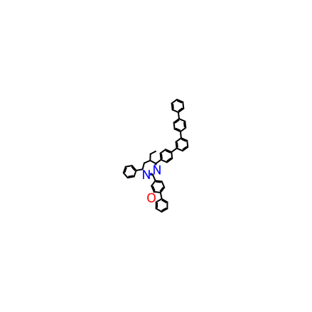 CCC1CC(c2ccccc2)N=C(c2ccc3c(c2)oc2ccccc23)N=C1c1ccc(-c2cccc(-c3ccc(-c4ccccc4)cc3)c2)cc1